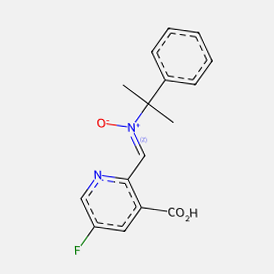 CC(C)(c1ccccc1)/[N+]([O-])=C/c1ncc(F)cc1C(=O)O